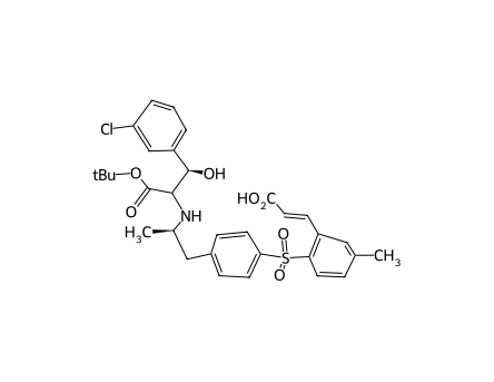 Cc1ccc(S(=O)(=O)c2ccc(C[C@@H](C)NC(C(=O)OC(C)(C)C)[C@H](O)c3cccc(Cl)c3)cc2)c(/C=C/C(=O)O)c1